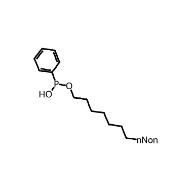 CCCCCCCCCCCCCCCCOP(O)c1ccccc1